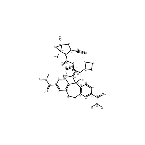 CN(C)C(=O)c1ccc2c(c1)CCc1cc(C(=O)N(C)C)ccc1C2(C[C@H](NCC(=O)N1[C@H](C#N)C[C@@H]2C[C@@H]21)C1CCC1)c1nnn[nH]1